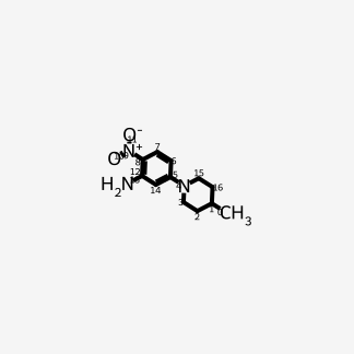 CC1CCN(c2ccc([N+](=O)[O-])c(N)c2)CC1